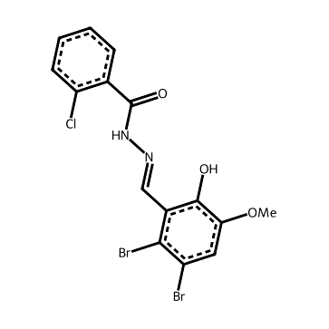 COc1cc(Br)c(Br)c(C=NNC(=O)c2ccccc2Cl)c1O